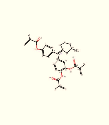 C=C(C)C(=O)Oc1ccc(/C(=C2\CCCC(CC)C2)c2ccc(OC(=O)C(=C)C)c(OC(=O)C(=C)C)c2)cc1